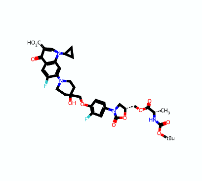 C[C@H](NC(=O)OC(C)(C)C)C(=O)OC[C@H]1CN(c2ccc(OCC3(O)CCN(c4cc5c(cc4F)c(=O)c(C(=O)O)cn5C4CC4)CC3)c(F)c2)C(=O)O1